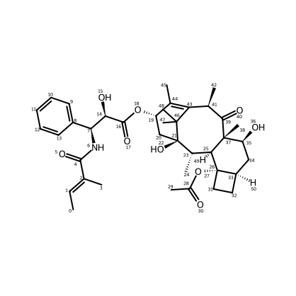 C/C=C(\C)C(=O)N[C@@H](c1ccccc1)[C@@H](O)C(=O)O[C@H]1C[C@@]2(O)[C@@H](C)[C@@H]3[C@]4(OC(C)=O)CC[C@@H]4C[C@H](O)[C@@]3(C)C(=O)[C@H](C)C(=C1C)C2(C)C